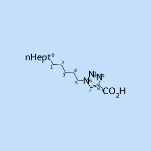 CCCCCCCCCCCCn1cc(C(=O)O)nn1